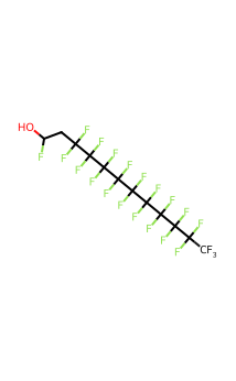 OC(F)CC(F)(F)C(F)(F)C(F)(F)C(F)(F)C(F)(F)C(F)(F)C(F)(F)C(F)(F)C(F)(F)C(F)(F)F